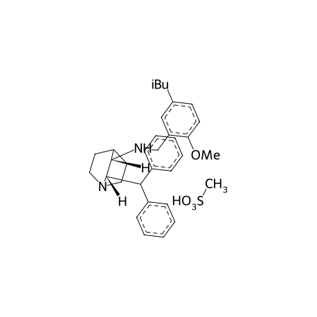 CCC(C)c1ccc(OC)c(CN[C@H]2C3CCN(CC3)[C@H]2C(c2ccccc2)c2ccccc2)c1.CS(=O)(=O)O